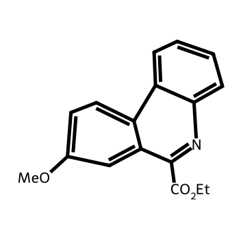 CCOC(=O)c1nc2ccccc2c2ccc(OC)cc12